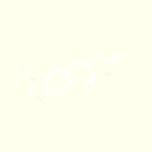 CCn1cnc2ccc(/C=C3/SC(=O)NC3=O)cc21